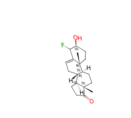 C[C@]12CC[C@H](O)C(F)C1=CC[C@@H]1[C@@H]2CC[C@]2(C)C(=O)CC[C@@H]12